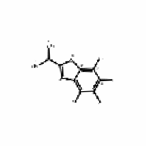 CCCC(CCC)c1cc2c(C)c(C)c(C)c(C)c2s1